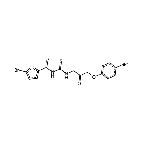 CC(C)c1ccc(OCC(=O)NNC(=S)NC(=O)c2ccc(Br)o2)cc1